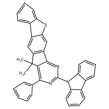 CC1(C)c2cc3c(cc2-c2nc(-n4c5ccccc5c5ccccc54)nc(-c4ccccc4)c21)sc1ccccc13